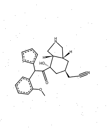 COc1ccccc1C(C(=O)[C@]1(O)C[C@H](CC#N)C[C@H]2CNC[C@H]21)c1cccs1